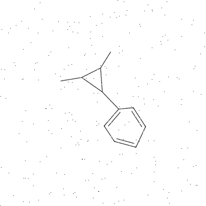 CC1C(C)C1c1ccccc1